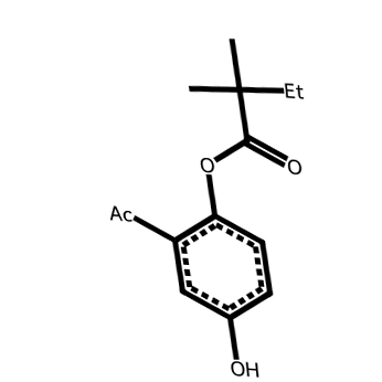 CCC(C)(C)C(=O)Oc1ccc(O)cc1C(C)=O